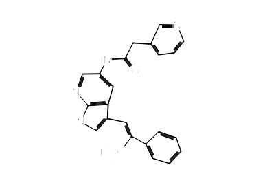 O=C(Cc1cccnc1)Nc1cnc2[nH]cc(/C=C(\C(=O)O)c3ccccc3)c2c1